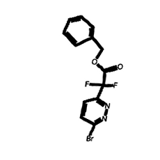 O=C(OCc1ccccc1)C(F)(F)c1ccc(Br)nn1